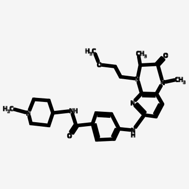 COCCN1c2nc(Nc3ccc(C(=O)NC4CCN(C)CC4)cc3)ccc2N(C)C(=O)C1C